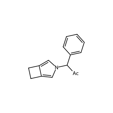 CC(=O)C(c1ccccc1)n1cc2c(c1)CC2